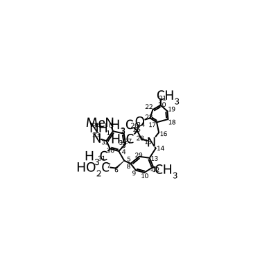 CNc1ccc([C@H](CC(=O)O)c2ccc(C)c(CN3Cc4ccc(C)cc4OC(C)(C)C3)c2)c(C)c1N=N